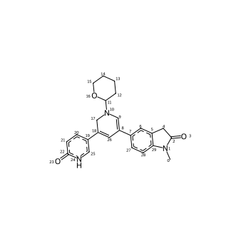 CN1C(=O)Cc2cc(C3=CN(C4CCCCO4)CC(c4ccc(=O)[nH]c4)=C3)ccc21